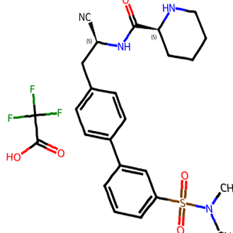 CN(C)S(=O)(=O)c1cccc(-c2ccc(C[C@@H](C#N)NC(=O)[C@@H]3CCCCN3)cc2)c1.O=C(O)C(F)(F)F